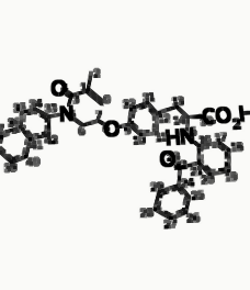 C=C(C)C(=O)N(CCOc1ccc(C[C@H](Nc2ccccc2C(=O)c2ccccc2)C(=O)O)cc1)c1ccc2ccccc2c1